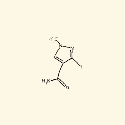 Cn1cc(C(N)=O)c(I)n1